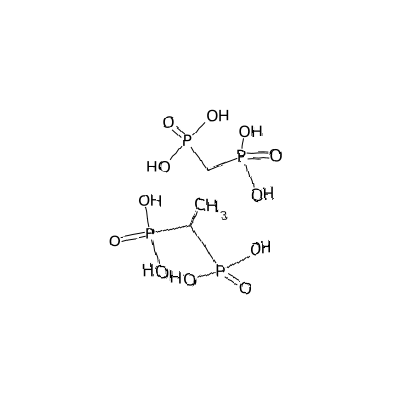 CC(P(=O)(O)O)P(=O)(O)O.O=P(O)(O)CP(=O)(O)O